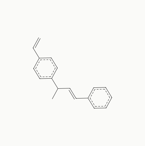 C=Cc1ccc(C(C)C=Cc2ccccc2)cc1